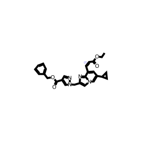 CCOC(=O)/C=C\c1cc(C2CC2)cn2cc(Cn3cc(C(=O)OCc4ccccc4)cn3)nc12